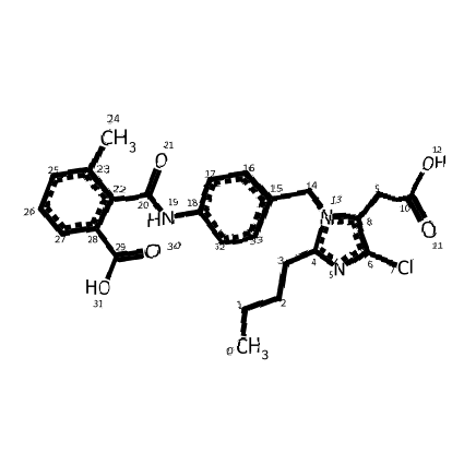 CCCCc1nc(Cl)c(CC(=O)O)n1Cc1ccc(NC(=O)c2c(C)cccc2C(=O)O)cc1